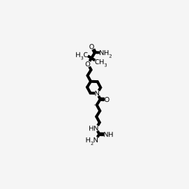 CC(C)(OCCC1CCN(C(=O)[CH]CCCNC(=N)N)CC1)C(N)=O